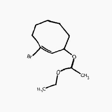 CCOC(C)OC1C=C(Br)CCCCC1